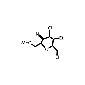 CCC1C(CCl)OC(COC)C(=N)C1Cl